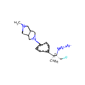 CO[C@H](c1ccc(N2CC3CN(C)CC3C2)cc1)[C@@H](CF)N=[N+]=[N-]